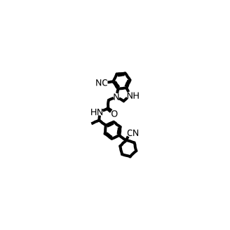 CC(NC(=O)CN1CNc2cccc(C#N)c21)c1ccc(C2(C#N)CCCCC2)cc1